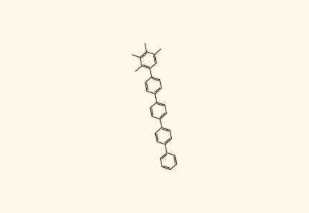 Cc1cc(-c2ccc(-c3ccc(-c4ccc(-c5ccccc5)cc4)cc3)cc2)c(C)c(C)c1C